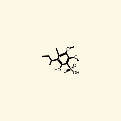 CCC(C)c1c(C)c(OC)c(OC)c(S(=O)(=O)O)c1O